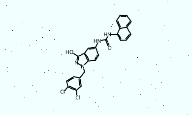 O=C(Nc1ccc2c(c1)c(O)nn2Cc1ccc(Cl)c(Cl)c1)Nc1cccc2ccccc12